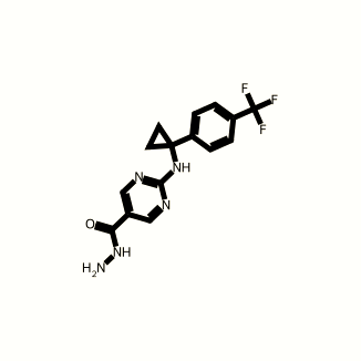 NNC(=O)c1cnc(NC2(c3ccc(C(F)(F)F)cc3)CC2)nc1